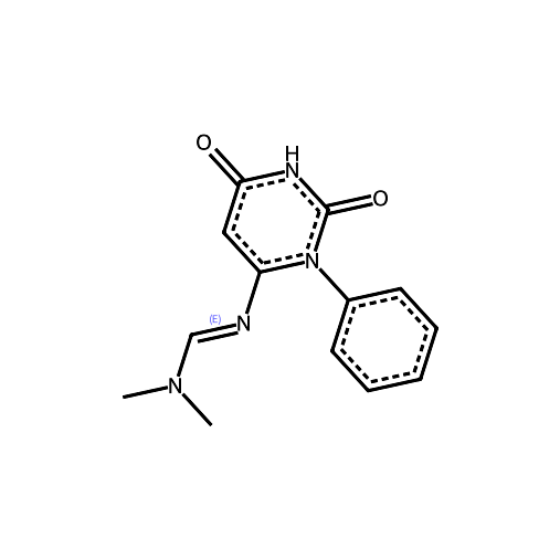 CN(C)/C=N/c1cc(=O)[nH]c(=O)n1-c1ccccc1